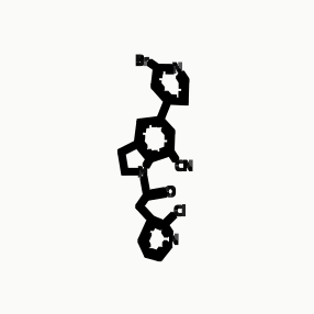 N#Cc1cc(-c2ccnc(Br)c2)cc2c1N(C(=O)Cc1cccnc1Cl)CC2